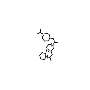 CC(C)N1CCCC(CC(C)N2CCOC(CC(C)N3CCCCC3)C2)CC1